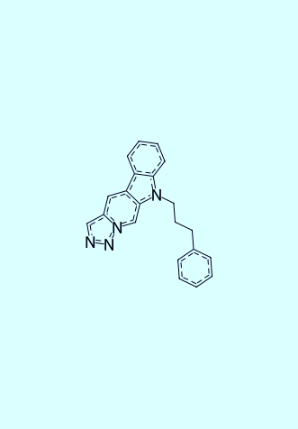 c1ccc(CCCn2c3ccccc3c3cc4cnnn4cc32)cc1